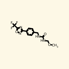 COCNC(=O)NCc1ccc(-c2noc(C(F)(F)F)n2)cc1